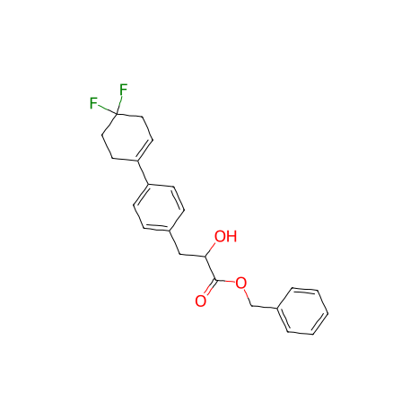 O=C(OCc1ccccc1)C(O)Cc1ccc(C2=CCC(F)(F)CC2)cc1